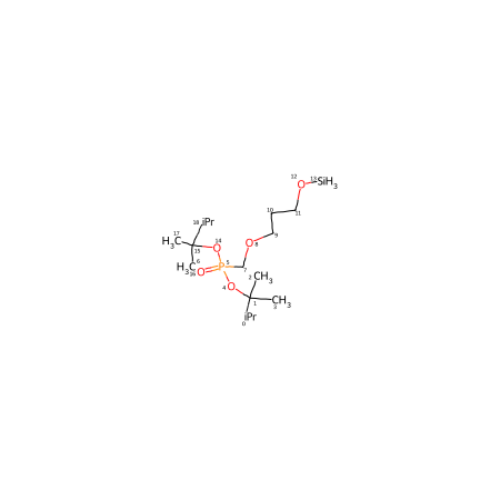 CC(C)C(C)(C)OP(=O)(COCCCO[SiH3])OC(C)(C)C(C)C